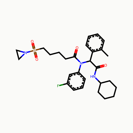 Cc1ccccc1C(C(=O)NC1CCCCC1)N(C(=O)CCCCS(=O)(=O)N1CC1)c1cccc(F)c1